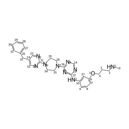 CNCCCOc1cccc(Nc2ncnc(N3CCN(c4ncc(Cc5ccccc5)cn4)CC3)n2)c1